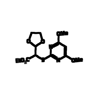 CCOC(=O)C(Sc1nc(OC)cc(OC)n1)C1OCCO1